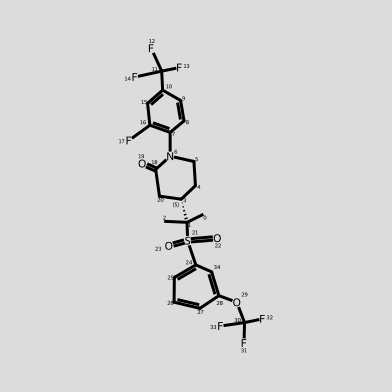 CC(C)([C@H]1CCN(c2ccc(C(F)(F)F)cc2F)C(=O)C1)S(=O)(=O)c1cccc(OC(F)(F)F)c1